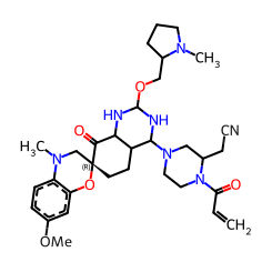 C=CC(=O)N1CCN(C2NC(OCC3CCCN3C)NC3C(=O)[C@@]4(CCC32)CN(C)c2ccc(OC)cc2O4)CC1CC#N